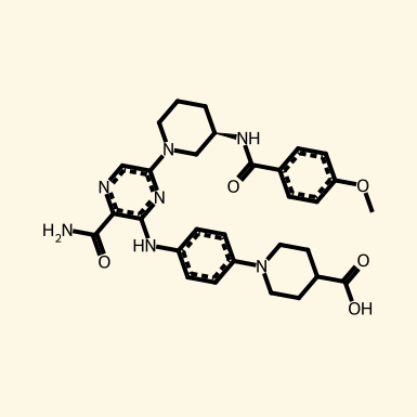 COc1ccc(C(=O)N[C@@H]2CCCN(c3cnc(C(N)=O)c(Nc4ccc(N5CCC(C(=O)O)CC5)cc4)n3)C2)cc1